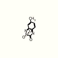 Cc1cc2c3c(c1)=N[N+]([O-])(O2)C(=O)N=3